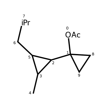 CC(=O)OC1(C2C(C)C2CC(C)C)CC1